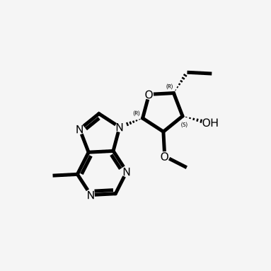 CC[C@H]1O[C@@H](n2cnc3c(C)ncnc32)C(OC)[C@H]1O